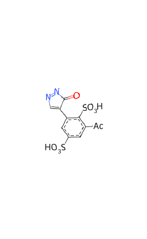 CC(=O)c1cc(S(=O)(=O)O)cc(C2=CN=NC2=O)c1S(=O)(=O)O